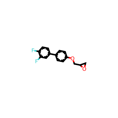 Fc1ccc(-c2ccc(OCC3CO3)cc2)cc1F